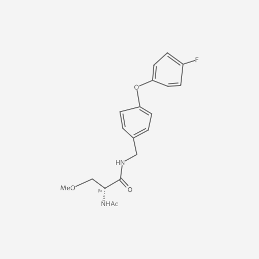 COC[C@@H](NC(C)=O)C(=O)NCc1ccc(Oc2ccc(F)cc2)cc1